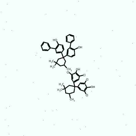 CC1CC(C)(C)CC(c2cc(Cl)c(O)c(Cl)c2)(c2cc(Cl)c(O)c(Cl)c2)C1.CC1CC(C)(C)CC(c2ccc(O)c(-c3ccccc3)c2)(c2ccc(O)c(-c3ccccc3)c2)C1